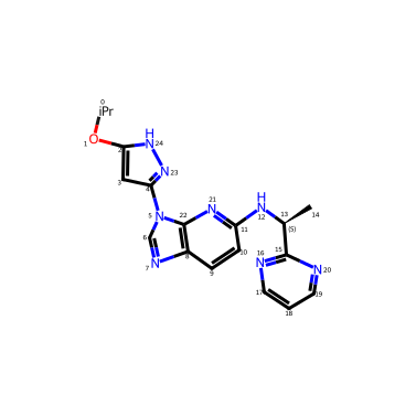 CC(C)Oc1cc(-n2cnc3ccc(N[C@@H](C)c4ncccn4)nc32)n[nH]1